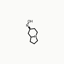 ON=C1CCN2CCCC2C1